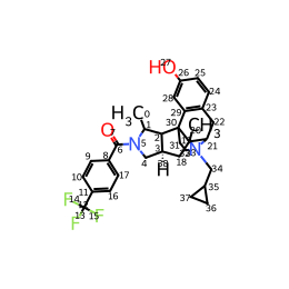 CC1C2[C@H](CN1C(=O)c1ccc(C(F)(F)F)cc1)CC1(C)C3Cc4ccc(O)cc4C21CCN3CC1CC1